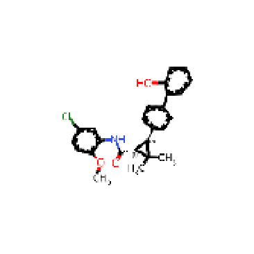 COc1ccc(Cl)cc1NC(=O)[C@@H]1[C@@H](c2ccc(-c3ccccc3O)cc2)C1(C)C